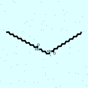 CCCCCCCCCCCCCCCC(=O)NCCCC[C@@H](C)NC(=O)CCCCCCCCCCCCCCC